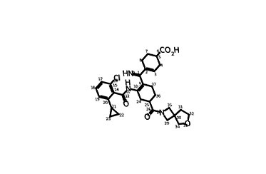 N=C(C1=CCC(C(=O)O)CC1)C1=C(NC(=O)c2c(Cl)cccc2C2CC2)CC(C(=O)N2CC3(CCOC3)C2)CC1